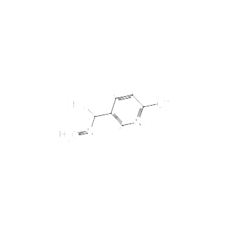 C=NC(C)c1ccc(Cl)nc1